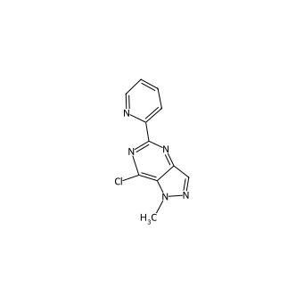 Cn1ncc2nc(-c3ccccn3)nc(Cl)c21